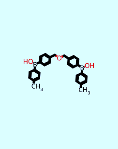 Cc1ccc(B(O)c2ccc(COCc3ccc(B(O)c4ccc(C)cc4)cc3)cc2)cc1